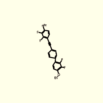 CCCc1ccc(C#Cc2ccc(-c3ccc(OCC)c(F)c3F)cc2)c(F)c1F